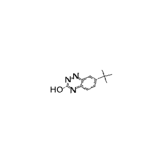 CC(C)(C)c1ccc2nc(O)nnc2c1